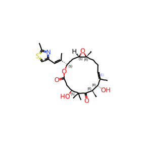 CC(=Cc1csc(C)n1)[C@@H]1C[C@@H]2O[C@]2(C)CC/C=C(\C)[C@H](O)[C@@H](C)C(=O)C(C)(C)[C@@H](O)CC(=O)O1